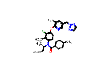 COC[C@H](C)N(C(=O)C1CCC(C)CC1)c1ccc(Oc2ncc(Cn3nccn3)cc2C(F)(F)F)c(F)c1C(=O)O